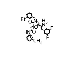 CCc1cccc(CN(C[C@@H](O)[C@@H](N)Cc2cc(F)cc(F)c2)C(=O)CCC(=O)Nc2cccc(C)n2)c1